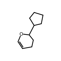 C1=COC(C2CCCC2)CC1